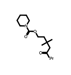 CC(C)C(=O)CC(C)(C)CCOC(=O)N1CCCCC1